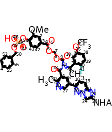 COc1cc(C(=O)OCOC(=O)N(C(=O)c2cc(-c3ccc4nc(NC(C)=O)cn4n3)cnc2C)C(C)c2cc(OC(F)(F)F)ccc2F)ccc1OP(=O)(O)OCc1ccccc1